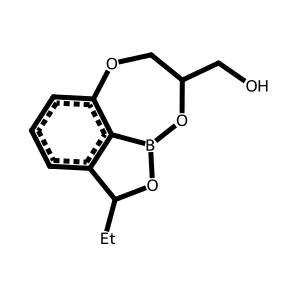 CCC1OB2OC(CO)COc3cccc1c32